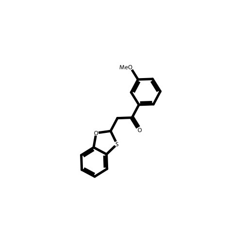 COc1cccc(C(=O)CC2Oc3ccccc3S2)c1